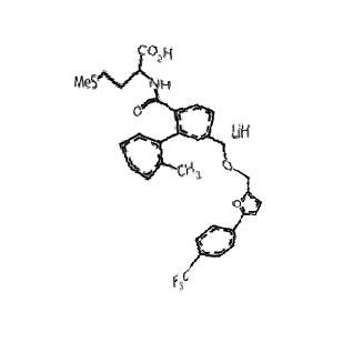 CSCCC(NC(=O)c1ccc(COCc2ccc(-c3ccc(C(F)(F)F)cc3)o2)cc1-c1ccccc1C)C(=O)O.[LiH]